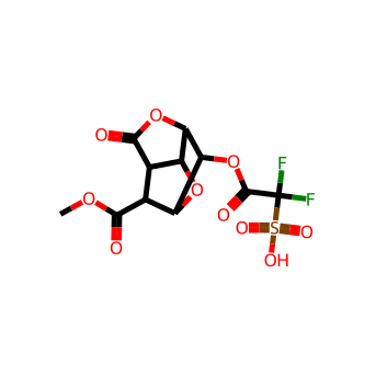 COC(=O)C1C2OC3C(OC(=O)C31)C2OC(=O)C(F)(F)S(=O)(=O)O